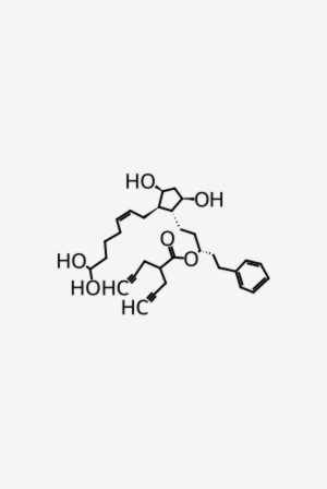 C#CCC(CC#C)C(=O)O[C@@H](CCc1ccccc1)CC[C@@H]1[C@@H](C/C=C\CCCC(O)O)[C@@H](O)C[C@H]1O